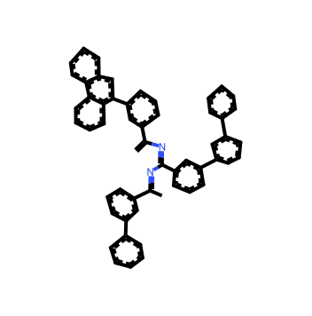 C=C(/N=C(\N=C(/C)c1cccc(-c2ccccc2)c1)c1cccc(-c2cccc(-c3ccccc3)c2)c1)c1cccc(-c2cc3ccccc3c3ccccc23)c1